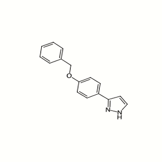 c1ccc(COc2ccc(-c3cc[nH]n3)cc2)cc1